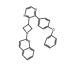 c1ccc(Oc2ccc(-c3nccnc3C3CN(c4ccc5ccccc5n4)C3)cc2)cc1